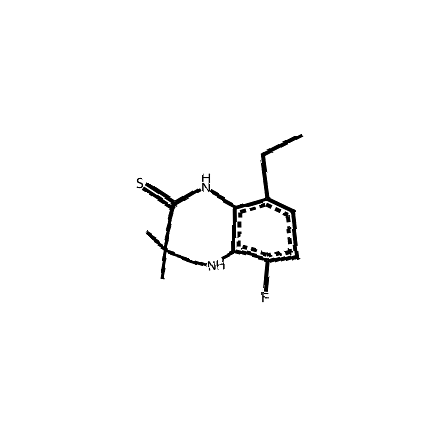 CCc1ccc(F)c2c1NC(=S)C(C)(C)N2